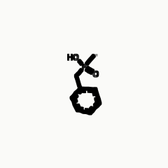 [CH2]P(=O)(O)Cc1ccccc1